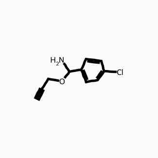 C#CCOC(N)c1ccc(Cl)cc1